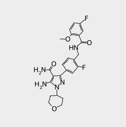 COc1ccc(F)cc1C(=O)NCc1ccc(-c2nn(C3CCOCC3)c(N)c2C(N)=O)cc1F